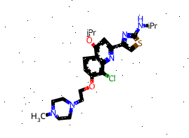 CC(C)Nc1nc(-c2cc(OC(C)C)c3ccc(OCCN4CCN(C)CC4)c(Cl)c3n2)cs1